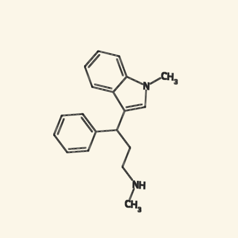 CNCCC(c1ccccc1)c1cn(C)c2ccccc12